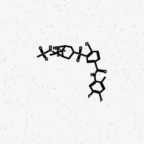 Cc1cc(F)c(F)cc1NC(=O)c1ccc(Cl)c(S(=O)(=O)C2CC3C[C@H](C)C(C2)[C@@]3(O)CNS(C)(=O)=O)c1